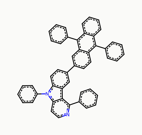 c1ccc(-c2c3ccccc3c(-c3ccccc3)c3cc(-c4ccc5c(c4)c4c(-c6ccccc6)nccc4n5-c4ccccc4)ccc23)cc1